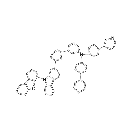 c1cncc(-c2ccc(N(c3ccc(-c4cccnc4)cc3)c3cccc(-c4cccc(-c5ccc6c7ccccc7n(-c7cccc8c7oc7ccccc78)c6c5)c4)c3)cc2)c1